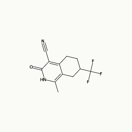 Cc1[nH]c(=O)c(C#N)c2c1CC(C(F)(F)F)CC2